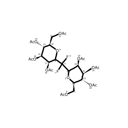 CC(=O)OC[C@H]1O[C](C(F)(F)[C]2O[C@H](COC(C)=O)[C@@H](OC(C)=O)[C@H](OC(C)=O)[C@@H]2OC(C)=O)[C@@H](OC(C)=O)[C@@H](OC(C)=O)[C@@H]1OC(C)=O